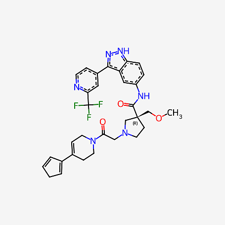 COC[C@@]1(C(=O)Nc2ccc3[nH]nc(-c4ccnc(C(F)(F)F)c4)c3c2)CCN(CC(=O)N2CC=C(C3=CCC=C3)CC2)C1